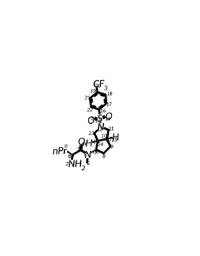 CCC[C@H](N)C(=O)N(C)[C@@H]1CC[C@H]2CN(S(=O)(=O)c3ccc(C(F)(F)F)cc3)C[C@H]21